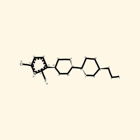 CCC[C@H]1CC[C@H]([C@H]2CC[C@H](c3ccc(Cl)nc3F)CC2)CC1